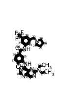 CCN(CC)c1ncc2ncnc(Nc3cc(C(=O)Nc4cc(CN5CCCC5)cc(C(F)(F)F)c4)ccc3C)c2n1